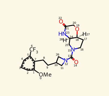 COc1cccc(C(F)(F)F)c1CCC1CN(C(=O)N2CC[C@@H]3OCC(=O)N[C@@H]3C2)C1